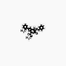 COC(=O)[C@@H]1c2sc(-c3ccccc3C)cc2[C@@H]2CN1C(=O)N2OCc1ccccc1